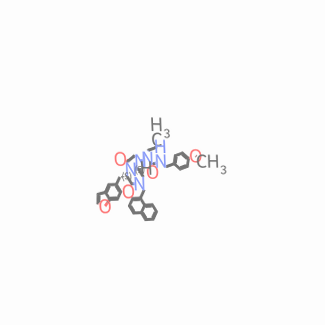 CCCN(C(=O)NCc1ccc(OC)cc1)N1CC(=O)N2[C@@H](Cc3ccc4occc4c3)C(=O)N(Cc3cccc4ccccc34)C[C@@H]21